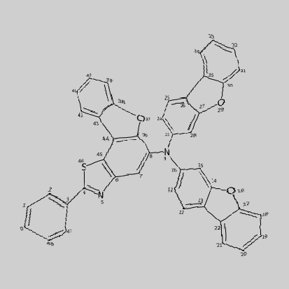 c1ccc(-c2nc3cc(N(c4ccc5c(c4)oc4ccccc45)c4ccc5c(c4)oc4ccccc45)c4oc5ccccc5c4c3s2)cc1